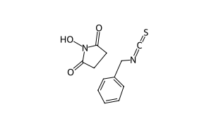 O=C1CCC(=O)N1O.S=C=NCc1ccccc1